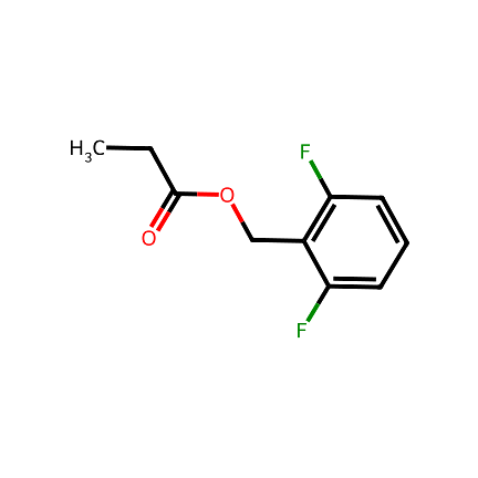 CCC(=O)OCc1c(F)cccc1F